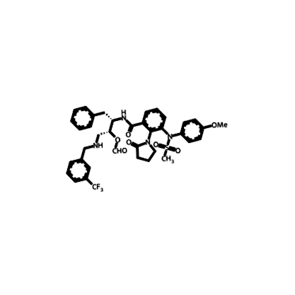 COc1ccc(N(c2cccc(C(=O)N[C@@H](Cc3ccccc3)[C@@H](CNCc3cccc(C(F)(F)F)c3)OC=O)c2N2CCCC2=O)S(C)(=O)=O)cc1